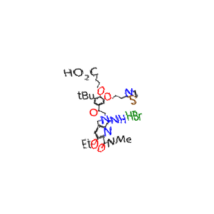 Br.CCOc1cc2c(nc1C(=O)NC)C(=N)N(CC(=O)c1cc(OCCCc3nccs3)c(OCCCCC(=O)O)c(C(C)(C)C)c1)C2